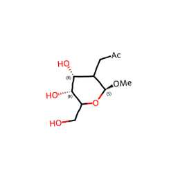 CO[C@H]1OC(CO)[C@H](O)[C@H](O)C1CC(C)=O